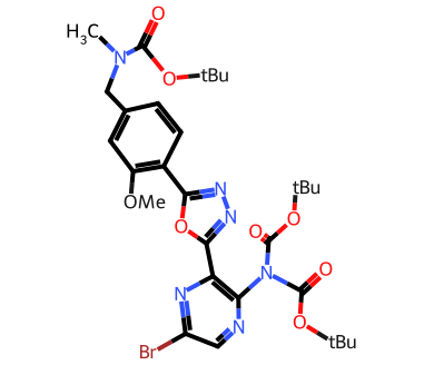 COc1cc(CN(C)C(=O)OC(C)(C)C)ccc1-c1nnc(-c2nc(Br)cnc2N(C(=O)OC(C)(C)C)C(=O)OC(C)(C)C)o1